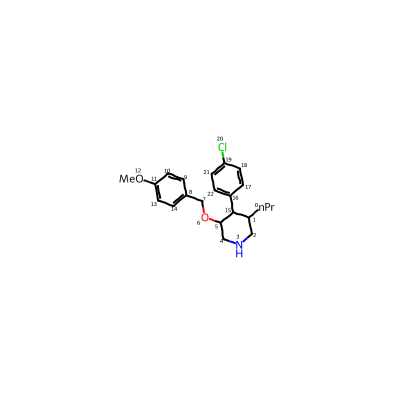 CCCC1CNCC(OCc2ccc(OC)cc2)C1c1ccc(Cl)cc1